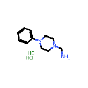 Cl.Cl.NCN1CCN(c2ccccc2)CC1